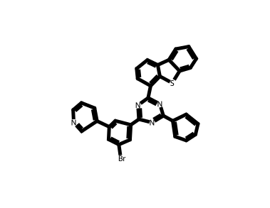 Brc1cc(-c2cccnc2)cc(-c2nc(-c3ccccc3)nc(-c3cccc4c3sc3ccccc34)n2)c1